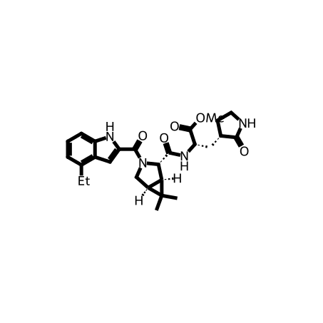 CCc1cccc2[nH]c(C(=O)N3C[C@H]4[C@@H]([C@H]3C(=O)N[C@@H](C[C@@H]3CCNC3=O)C(=O)OC)C4(C)C)cc12